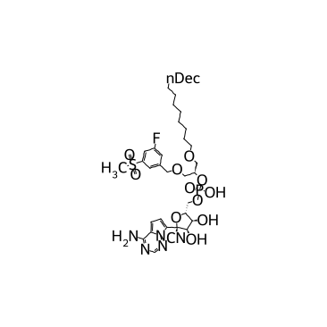 CCCCCCCCCCCCCCCCCCOC[C@H](COCc1cc(F)cc(S(C)(=O)=O)c1)OP(=O)(O)OC[C@H]1O[C@@](C#N)(c2ccc3c(N)ncnn23)[C@H](O)[C@@H]1O